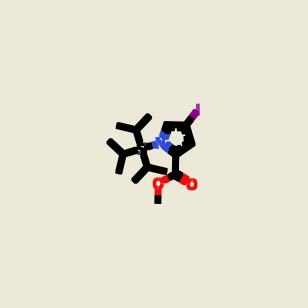 COC(=O)c1cc(I)cn1[Si](C(C)C)(C(C)C)C(C)C